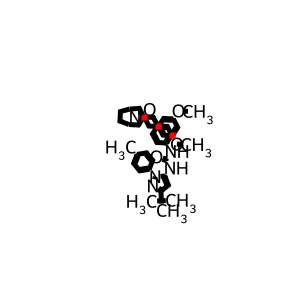 COc1cc(CC(=O)N2C3CCC2CC(Cc2ccc(NC(=O)Nc4cc(C(C)(C)C)nn4-c4ccc(C)cc4)cc2)C3)cc(OC)c1